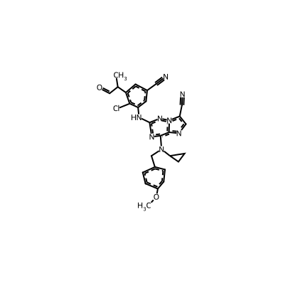 COc1ccc(CN(c2nc(Nc3cc(C#N)cc(C(C)C=O)c3Cl)nn3c(C#N)cnc23)C2CC2)cc1